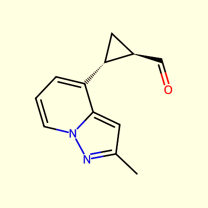 Cc1cc2c([C@@H]3C[C@H]3C=O)cccn2n1